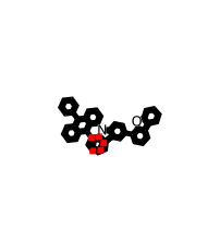 c1ccc(-c2c3ccccc3c(-c3ccccc3)c3c(-n4c5ccccc5c5cc(-c6cccc7c6oc6ccccc67)ccc54)cccc23)cc1